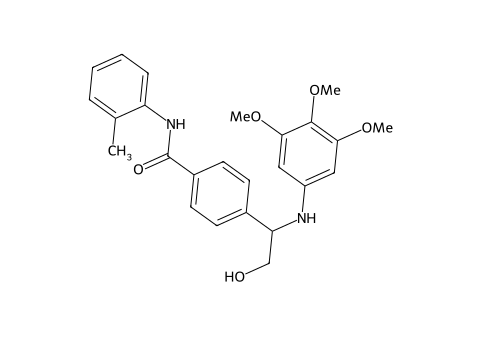 COc1cc(NC(CO)c2ccc(C(=O)Nc3ccccc3C)cc2)cc(OC)c1OC